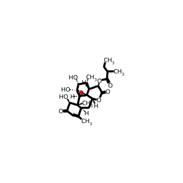 CCC(C)C(=O)O[C@H]1C(=O)O[C@@H]2C[C@H]3C(C)=CC(=O)[C@@H](O)[C@]3(C)[C@H]3[C@]4(O)OC[C@]32[C@@H]1[C@@H](C)[C@H]4O